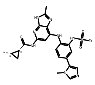 CCS(=O)(=O)Nc1cc(-c2cncn2C)ccc1Nc1cc(NC(=O)[C@@H]2C[C@@H]2F)nc2[nH]c(C)nc12